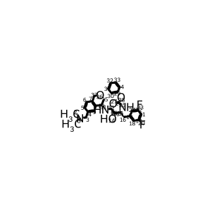 CN(C)Cc1ccc2c(c1)C(NC[C@@H](O)[C@H](Cc1cc(F)cc(F)c1)NC(=O)Oc1ccccc1)COC2